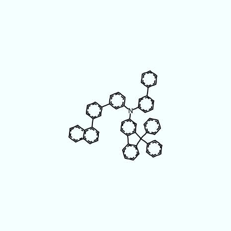 c1ccc(-c2cccc(N(c3cccc(-c4cccc(-c5cccc6ccccc56)c4)c3)c3ccc4c(c3)C(c3ccccc3)(c3ccccc3)c3ccccc3-4)c2)cc1